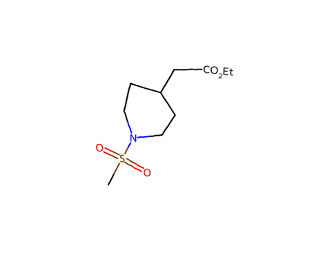 CCOC(=O)CC1CCN(S(C)(=O)=O)CC1